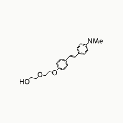 CNc1ccc(C=Cc2ccc(OCCOCCO)cc2)cc1